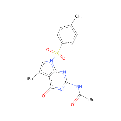 Cc1ccc(S(=O)(=O)n2cc(C(C)(C)C)c3c(=O)[nH]c(NC(=O)C(C)(C)C)nc32)cc1